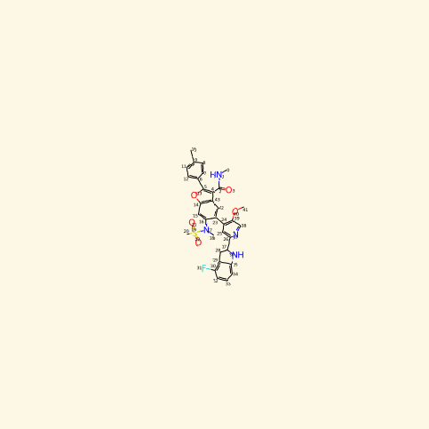 CNC(=O)c1c(-c2ccc(C)cc2)oc2cc(N(C)S(C)(=O)=O)c(-c3cc(C4Cc5c(F)cccc5N4)ncc3OC)cc12